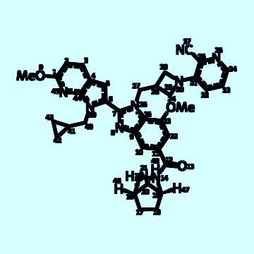 COc1ccc2cc(-c3nc4cc(C(=O)N5C[C@H]6CC[C@@H]5[C@@H]6N)cc(OC)c4n3CC3CN(c4cccnc4C#N)C3)n(CC3CC3)c2n1